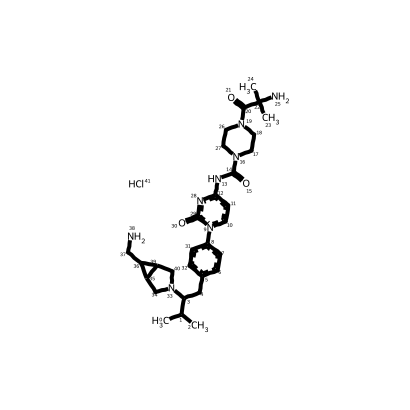 CC(C)C(Cc1ccc(-n2ccc(NC(=O)N3CCN(C(=O)C(C)(C)N)CC3)nc2=O)cc1)N1CC2C(CN)C2C1.Cl